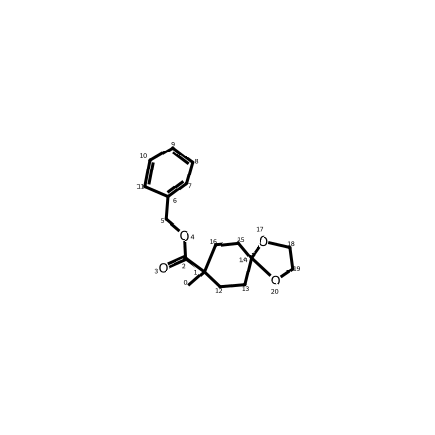 CC1(C(=O)OCc2ccccc2)CCC2(CC1)OCCO2